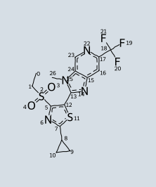 CCS(=O)(=O)c1nc(C2CC2)sc1-c1nc2cc(C(F)(F)F)ncc2n1C